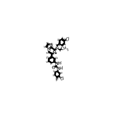 CCN(Cc1ccc(Cl)cc1)c1nc(-c2cccc(NC(=O)Nc3ccc(F)c(Cl)c3)c2)cn2ccnc12